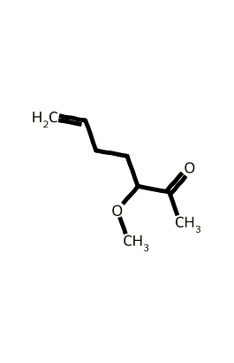 C=CCCC(OC)C(C)=O